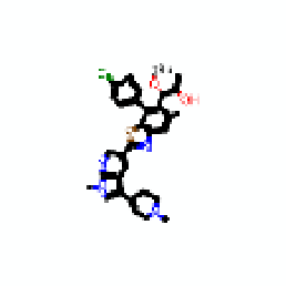 C=C(O)[C@@H](OC(C)(C)C)c1c(C)cc2nc(-c3cnc4c(c3)c(C3=CCN(C)CC3)cn4C)sc2c1-c1ccc(Cl)cc1